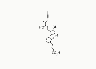 CC#CC[C@H](C)[C@H](O)/C=C/[C@@H]1C2c3cccc(CCCC(=O)O)c3O[C@H]2C[C@H]1O